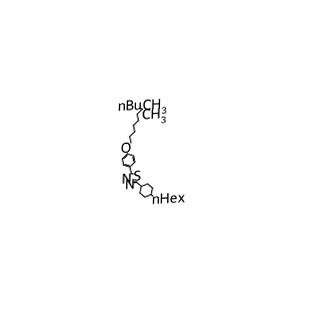 CCCCCCC1CCC(c2nnc(-c3ccc(OCCCCCCC(C)(C)CCCC)cc3)s2)CC1